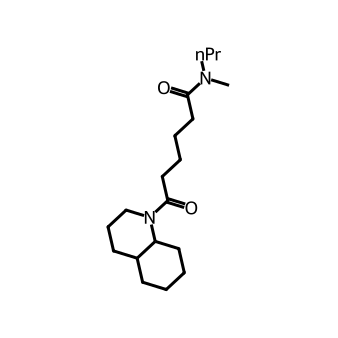 CCCN(C)C(=O)CCCCC(=O)N1CCCC2CCCCC21